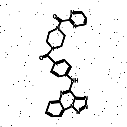 O=C(c1ccc(Nc2nc3ccccc3n3nnnc23)cc1)N1CCN(C(=O)c2ncccn2)CC1